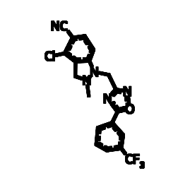 CN1Cc2c(ccc(C#N)c2Cl)N1Cc1noc(-c2cccc(C(F)(F)F)c2)n1